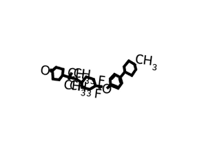 CC1CCC(c2ccc(OC(F)(F)C3CCC(C(C)(C)C(C)(C)C4CCC(=O)CC4)CC3)cc2)CC1